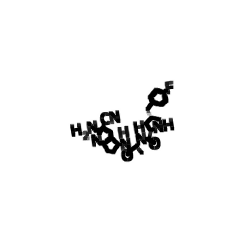 C[C@H](NC(=O)[C@H]1C[C@H](Cc2ccc(F)cc2)CN1)C(=O)NC1CCc2nc(N)c(C#N)cc21